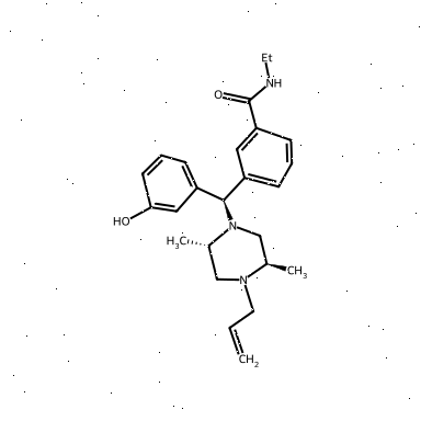 C=CCN1C[C@H](C)N([C@@H](c2cccc(O)c2)c2cccc(C(=O)NCC)c2)C[C@H]1C